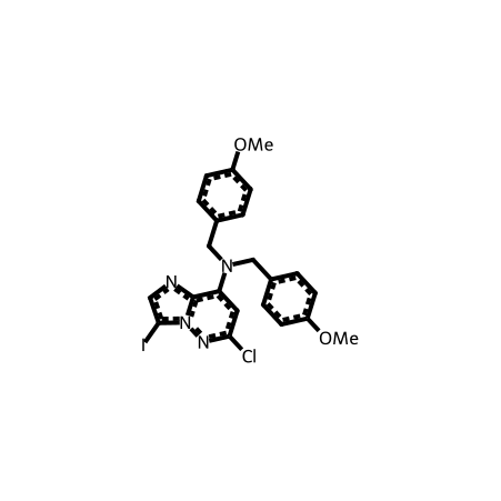 COc1ccc(CN(Cc2ccc(OC)cc2)c2cc(Cl)nn3c(I)cnc23)cc1